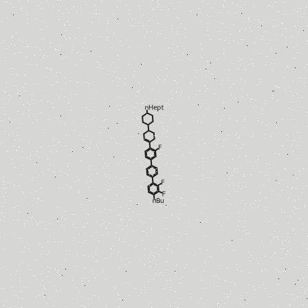 CCCCCCCC1CCC(C2CC=C(c3ccc(-c4ccc(-c5ccc(CCCC)c(F)c5F)cc4)cc3F)CC2)CC1